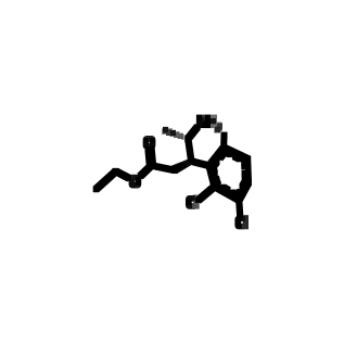 CCOC(=O)C[C@H](c1c(C)ccc(Cl)c1Cl)[C@H](C)N